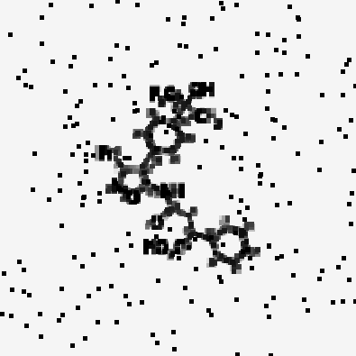 CC(C)c1noc(NC(=O)CC(C(=O)O)c2ccccc2)c1-c1ccc(C(O)(C(F)(F)F)C(F)(F)F)cc1